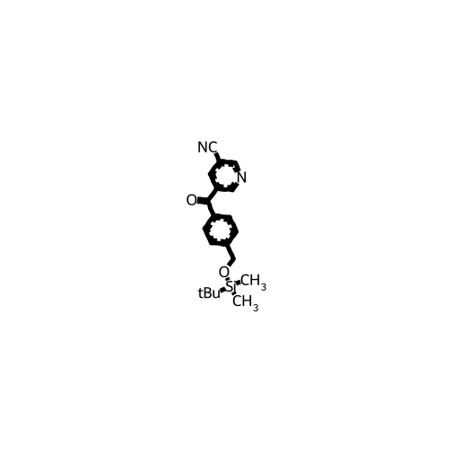 CC(C)(C)[Si](C)(C)OCc1ccc(C(=O)c2cncc(C#N)c2)cc1